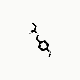 CCC(=O)OCc1ccc(SC)cc1